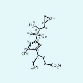 CC(C)C[C@H](CCC(=O)O)c1cc(S(=O)(=O)N(C)CC2CO2)sc1Cl